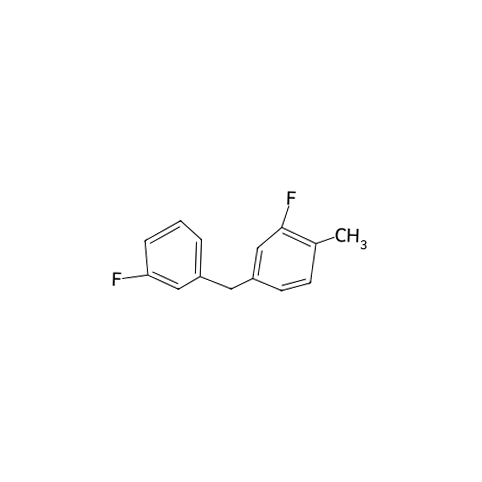 Cc1ccc(Cc2cccc(F)c2)cc1F